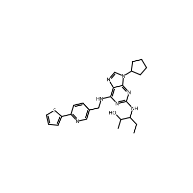 CCC(Nc1nc(NCc2ccc(-c3cccs3)nc2)c2ncn(C3CCCC3)c2n1)C(C)O